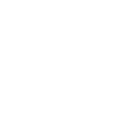 CCOC(=O)CC(OC)OCC